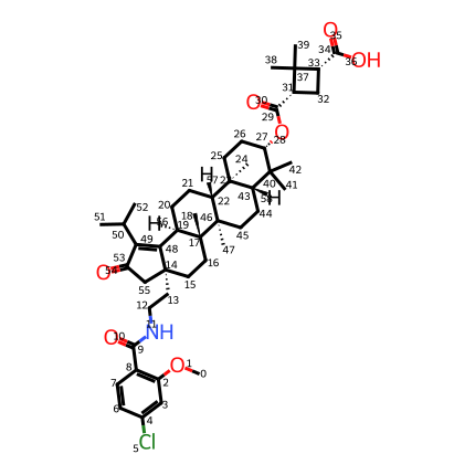 COc1cc(Cl)ccc1C(=O)NCC[C@@]12CC[C@]3(C)[C@H](CC[C@@H]4[C@@]5(C)CC[C@H](OC(=O)[C@H]6C[C@@H](C(=O)O)C6(C)C)C(C)(C)[C@@H]5CC[C@]43C)C1=C(C(C)C)C(=O)C2